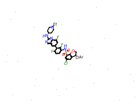 CCN1CCC(Nc2ncc3cc(-c4c(F)ccc(NS(=O)(=O)c5cc(Cl)cc6c5OC[C@H]6OC(C)=O)c4F)cc(F)c3n2)CC1